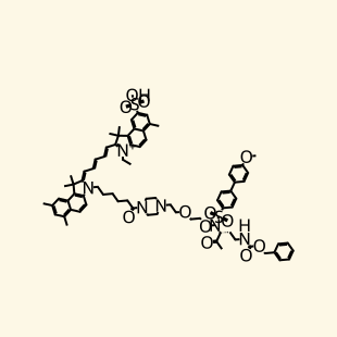 CC[N+]1=C(/C=C/C=C/C=C2\N(CCCCCC(=O)N3CCN(CCOCCON([C@H](CCNC(=O)OCc4ccccc4)C(C)=O)S(=O)(=O)c4ccc(-c5ccc(OC)cc5)cc4)CC3)c3ccc4c(C)cc(C)cc4c3C2(C)C)C(C)(C)c2c1ccc1c(C)cc(S(=O)(=O)O)cc21